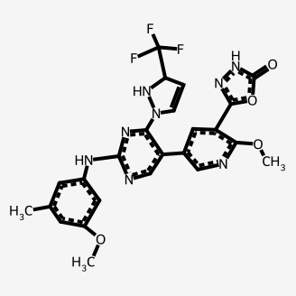 COc1cc(C)cc(Nc2ncc(-c3cnc(OC)c(-c4n[nH]c(=O)o4)c3)c(N3C=CC(C(F)(F)F)N3)n2)c1